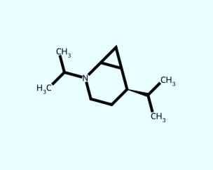 CC(C)[C@H]1CCN(C(C)C)C2CC21